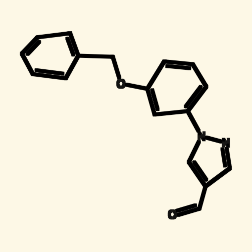 O=Cc1cnn(-c2cccc(OCc3ccccc3)c2)c1